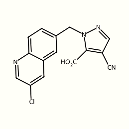 N#Cc1cnn(Cc2ccc3ncc(Cl)cc3c2)c1C(=O)O